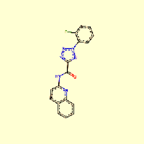 O=C(Nc1ccc2ccccc2n1)c1nnn(-c2ccccc2F)n1